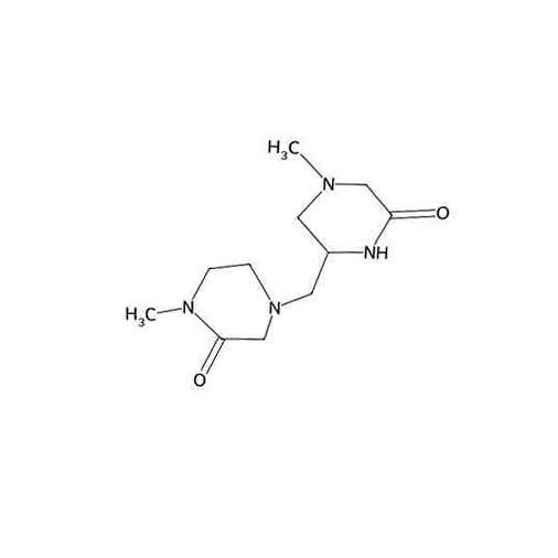 CN1CC(=O)NC(CN2CCN(C)C(=O)C2)C1